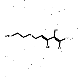 CCCCCCCCCCCCCC=C(O)C(O)=C(O)C(=O)O